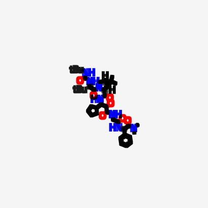 CN(C)C(=O)[C@@H](NC(=O)CNC(=O)C(=O)C(NC(=O)[C@@H]1[C@@H]2[C@H](CN1C(=O)[C@@H](NC(=O)NC(C)(C)C)C(C)(C)C)C2(C)C)C1CCCC1)c1ccccc1